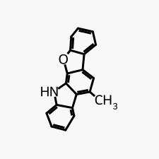 Cc1cc2c3ccccc3oc2c2[nH]c3ccccc3c12